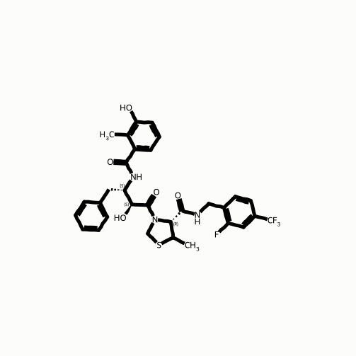 Cc1c(O)cccc1C(=O)N[C@@H](Cc1ccccc1)[C@H](O)C(=O)N1CSC(C)[C@H]1C(=O)NCc1ccc(C(F)(F)F)cc1F